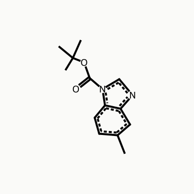 Cc1ccc2c(c1)ncn2C(=O)OC(C)(C)C